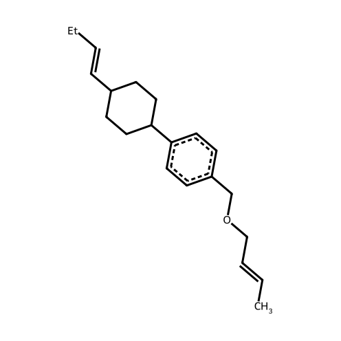 CC=CCOCc1ccc(C2CCC(C=CCC)CC2)cc1